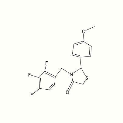 COc1ccc(C2SCC(=O)N2Cc2ccc(F)c(F)c2F)cc1